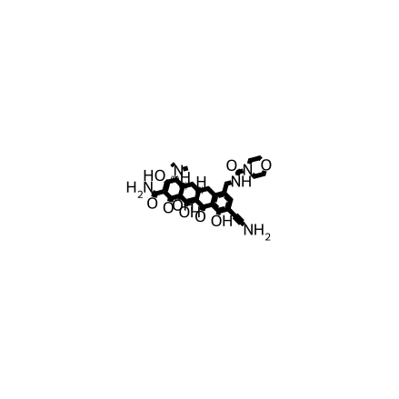 CN(C)[C@H]1C(O)=C(C(N)=O)C(=O)[C@@]2(O)C(O)=C3C(=O)c4c(O)c(C#CN)cc(CNC(=O)N5CCOCC5)c4C[C@H]3C[C@@H]12